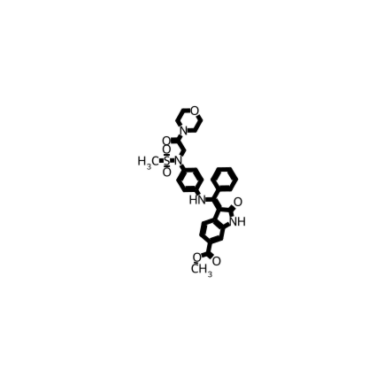 COC(=O)c1ccc2c(c1)NC(=O)C2=C(Nc1ccc(N(CC(=O)N2CCOCC2)S(C)(=O)=O)cc1)c1ccccc1